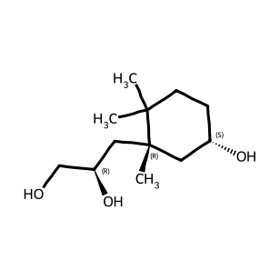 CC1(C)CC[C@H](O)C[C@]1(C)C[C@@H](O)CO